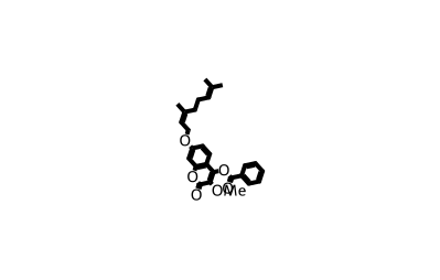 COc1c(OC(=O)c2ccccc2)c2ccc(OCC=C(C)CCC=C(C)C)cc2oc1=O